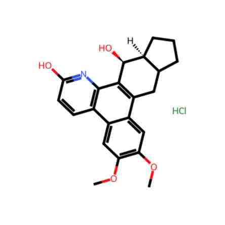 COc1cc2c3c(c4nc(O)ccc4c2cc1OC)[C@@H](O)[C@H]1CCCC1C3.Cl